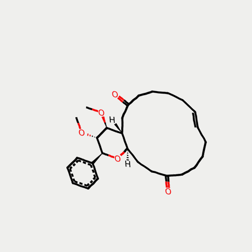 CO[C@@H]1[C@@H](OC)[C@@H]2CC(=O)CCCC/C=C/CCCCC(=O)CC[C@H]2O[C@H]1c1ccccc1